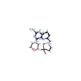 CC1(C)CCN(Cc2ccc3nc(Cl)nc(N4CCOCC4)c3n2)C1